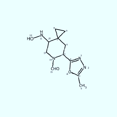 Cc1nnc(C2CC3(CC3)C(NO)CN2C=O)o1